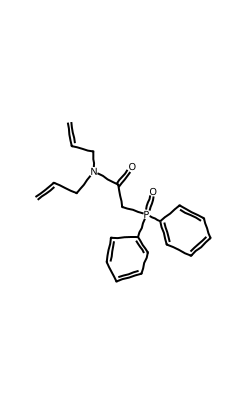 C=CCN(CC=C)C(=O)CP(=O)(c1ccccc1)c1ccccc1